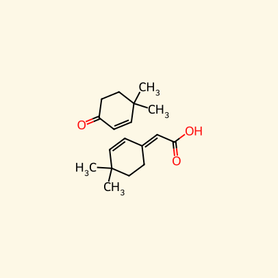 CC1(C)C=C/C(=C/C(=O)O)CC1.CC1(C)C=CC(=O)CC1